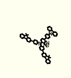 CC1(C)c2ccccc2-c2ccc(-c3ccc(N(c4ccc(-c5ccc6c(c5)C(C)(C)c5ccccc5-6)cc4)c4ccc(-c5ccc(-n6c7ccccc7c7ccccc76)cc5)c5nsnc45)cc3)cc21